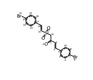 O=C(C=Cc1ccc(Br)cc1)CS(=O)(=O)/C=C/c1ccc(Br)cc1